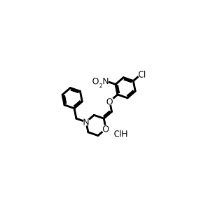 Cl.O=[N+]([O-])c1cc(Cl)ccc1OC=C1CN(Cc2ccccc2)CCO1